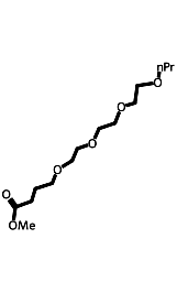 CCCOCCOCCOCCOCCCC(=O)OC